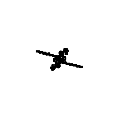 CCCCCCCCCCCCN1C(=O)C2=C(c3ccc(-c4cccs4)s3)N(CCCCCCCCCCCC)C(=O)C2=C1c1ccc(-c2cccs2)s1